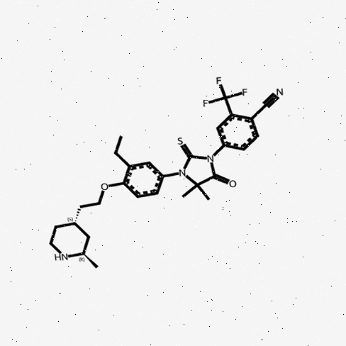 CCc1cc(N2C(=S)N(c3ccc(C#N)c(C(F)(F)F)c3)C(=O)C2(C)C)ccc1OCC[C@H]1CCN[C@H](C)C1